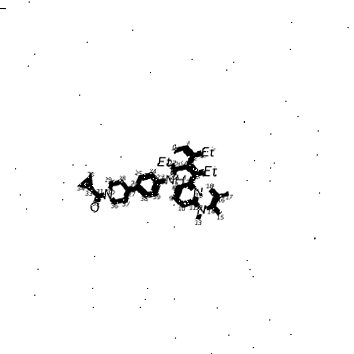 C/C=C(CC)\C(=C(/CC)c1cccc(N(C)C(C)=C(C)C)n1)C(CC)Nc1ccc(C2CCN(C(=O)C3CC3)CC2)cc1